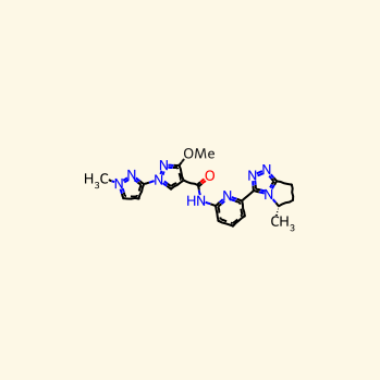 COc1nn(-c2ccn(C)n2)cc1C(=O)Nc1cccc(-c2nnc3n2[C@@H](C)CC3)n1